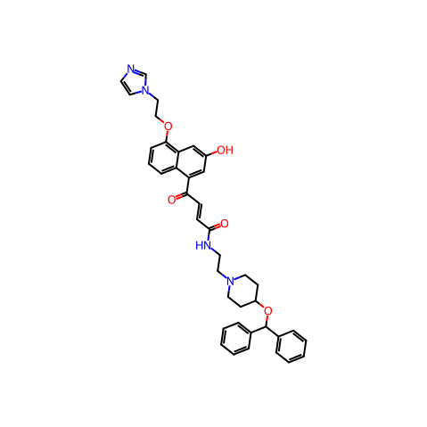 O=C(/C=C/C(=O)c1cc(O)cc2c(OCCn3ccnc3)cccc12)NCCN1CCC(OC(c2ccccc2)c2ccccc2)CC1